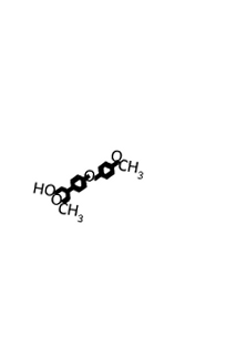 CC=CC(CC(=O)O)c1ccc(OCc2ccc(C(C)=O)cc2)cc1